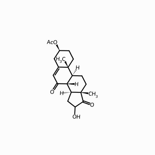 CC(=O)O[C@H]1CC[C@@]2(C)C(=CC(=O)[C@@H]3[C@@H]2CC[C@]2(C)C(=O)C(O)C[C@@H]32)C1